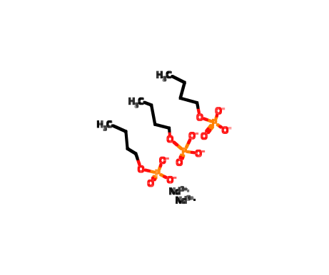 CCCCOP(=O)([O-])[O-].CCCCOP(=O)([O-])[O-].CCCCOP(=O)([O-])[O-].[Nd+3].[Nd+3]